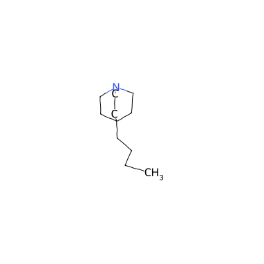 CCCCC12CCN(CC1)CC2